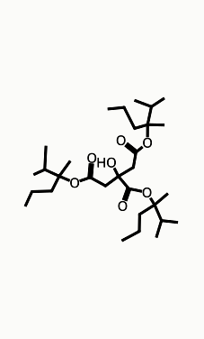 CCCC(C)(OC(=O)CC(O)(CC(=O)OC(C)(CCC)C(C)C)C(=O)OC(C)(CCC)C(C)C)C(C)C